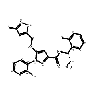 Cc1cc(COc2cc(C(=O)N[C@@H](CC(=O)O)c3ccccc3C)nn2-c2ccccc2F)on1